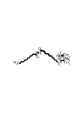 CC(C)(C)OO.CC(C)C(=O)O.CCCCCCCCCCCC(=O)OOC(=O)CCCCCCCCCCC